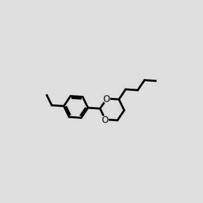 CCCCC1CCOC(c2ccc(CC)cc2)O1